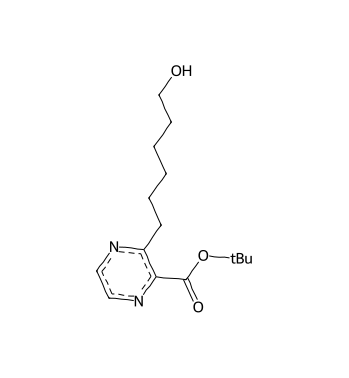 CC(C)(C)OC(=O)c1nccnc1CCCCCCO